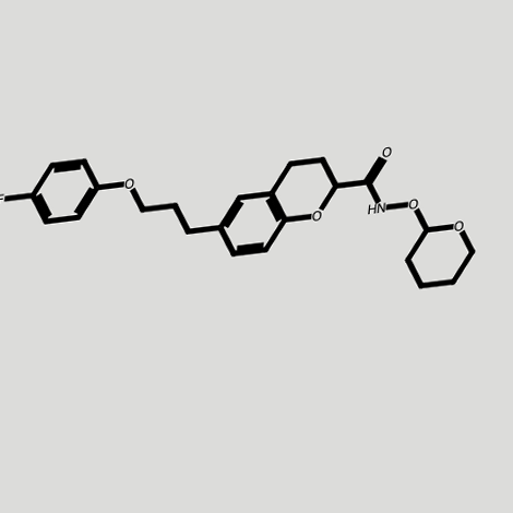 O=C(NOC1CCCCO1)C1CCc2cc(CCCOc3ccc(F)cc3)ccc2O1